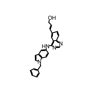 OCC=Cc1ccc2ncnc(Nc3ccc4c(ccn4Cc4ccccc4)c3)c2c1